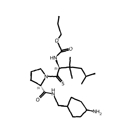 CCCOC(=O)N[C@H](C(=S)N1CCC[C@H]1C(=O)NCC1CCC(N)CC1)C(C)(C)CC(C)C